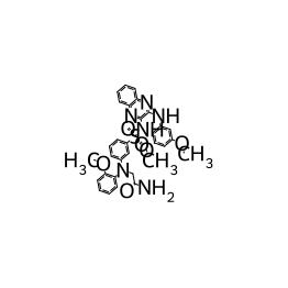 COc1cc(Nc2nc3ccccc3nc2NS(=O)(=O)c2cccc(N(CC(N)=O)c3ccccc3OC)c2)cc(OC)c1